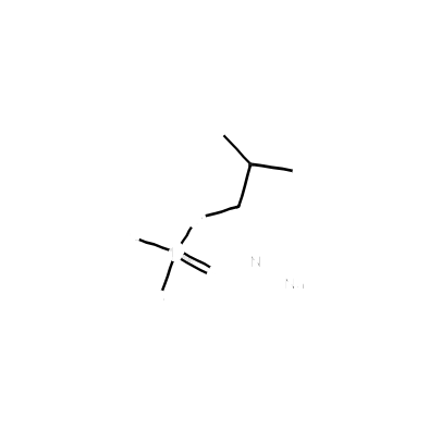 CC(C)COP([O-])(=S)[S-].[Na+].[Na+]